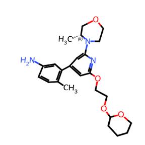 Cc1ccc(N)cc1-c1cc(OCCOC2CCCCO2)nc(N2CCOC[C@H]2C)c1